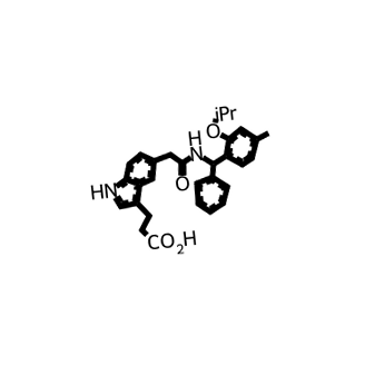 Cc1ccc(C(NC(=O)Cc2ccc3[nH]cc(CCC(=O)O)c3c2)c2ccccc2)c(OC(C)C)c1